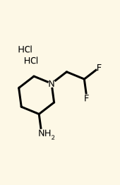 Cl.Cl.NC1CCCN(CC(F)F)C1